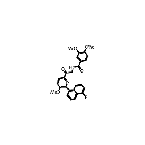 COc1ccc(C(=O)NCC(=O)c2ccc(OC)c(-c3cccc4c(F)cccc34)n2)cc1OC